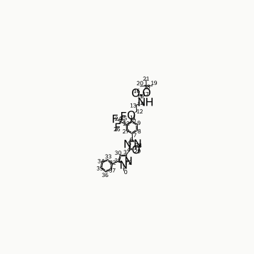 Cn1nc(-c2nc(-c3ccc(OCCNC(=O)OC(C)(C)C)c(C(F)(F)F)c3)no2)cc1-c1ccccc1